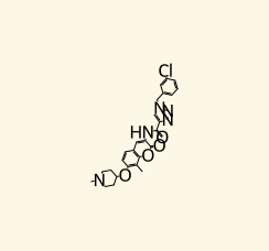 Cc1c(OC2CCN(C)CC2)ccc2cc(NC(=O)c3cn(Cc4cccc(Cl)c4)nn3)c(=O)oc12